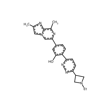 CCN1CC(c2ccc(-c3ccc(-c4cn5cc(C)nc5c(C)n4)cc3O)nn2)C1